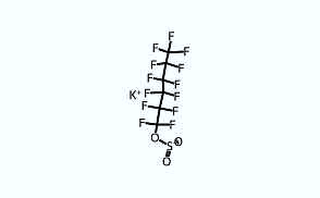 O=[S-](=O)OC(F)(F)C(F)(F)C(F)(F)C(F)(F)C(F)(F)C(F)(F)F.[K+]